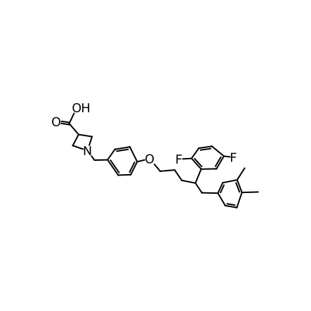 Cc1ccc(CC(CCCOc2ccc(CN3CC(C(=O)O)C3)cc2)c2cc(F)ccc2F)cc1C